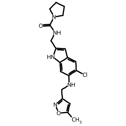 Cc1cc(CNc2cc3[nH]c(CNC(=O)N4CCCC4)cc3cc2Cl)no1